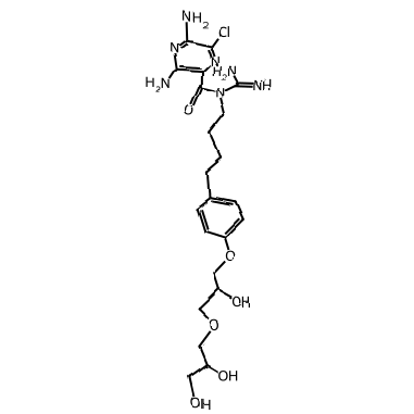 N=C(N)N(CCCCc1ccc(OCC(O)COCC(O)CO)cc1)C(=O)c1nc(Cl)c(N)nc1N